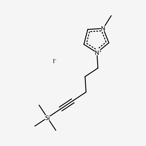 Cn1cc[n+](CCCC#C[Si](C)(C)C)c1.[I-]